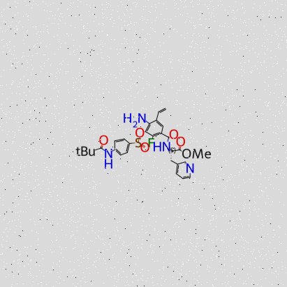 C=Cc1cc(C(=O)N[C@@H](Cc2cccnc2)C(=O)OC)c(F)c(OS(=O)c2ccc(NC(=O)C(C)(C)C)cc2)c1N